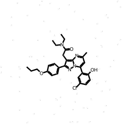 CCCOc1ccc(-c2nn3c(-c4cc(Cl)ccc4O)cc(C)nc3c2CC(=O)N(CC)CC)cc1